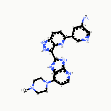 CN1CCN(c2ccnc3[nH]c(-c4n[nH]c5ccc(-c6cncc(N)c6)nc45)nc23)CC1